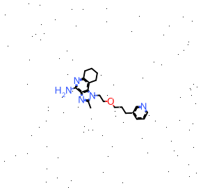 Cc1nc2c(N)nc3c(c2n1CCOCCCc1cccnc1)CCCC3